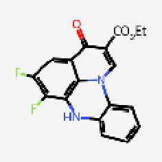 CCOC(=O)c1cn2c3c(c(F)c(F)cc3c1=O)Nc1ccccc1-2